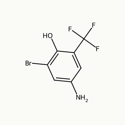 Nc1cc(Br)c(O)c(C(F)(F)F)c1